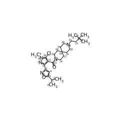 CC(C)c1cc(-c2nn(C)c(Cl)c2C(=O)N2CCC3(CCN(CCC(C)(C)C)CC3)CC2)no1